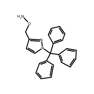 NOCc1ccn(C(c2ccccc2)(c2ccccc2)c2ccccc2)n1